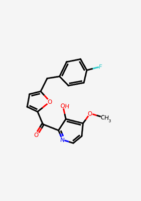 COc1ccnc(C(=O)c2ccc(Cc3ccc(F)cc3)o2)c1O